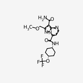 COCc1nn2c(C(=O)N[C@H]3CC[C@@H](OC(F)(F)F)CC3)ccnc2c1C(N)=O